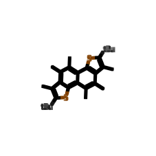 Cc1c(C(C)(C)C)sc2c1c(C)c(C)c1c3sc(C(C)(C)C)c(C)c3c(C)c(C)c21